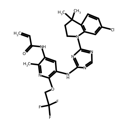 C=CC(=O)Nc1cc(Nc2ncnc(N3CCC(C)(C)c4ccc(Cl)cc43)n2)c(OCC(F)(F)F)nc1C